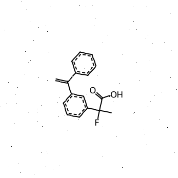 C=C(c1ccccc1)c1cccc(C(C)(F)C(=O)O)c1